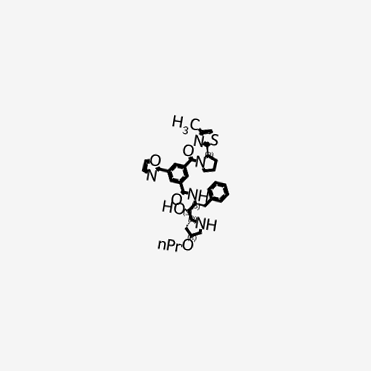 CCCO[C@H]1CN[C@@H]([C@H](O)[C@H](Cc2ccccc2)NC(=O)c2cc(C(=O)N3CCC[C@@H]3c3nc(C)cs3)cc(-c3ncco3)c2)C1